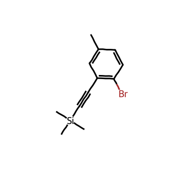 Cc1ccc(Br)c(C#C[Si](C)(C)C)c1